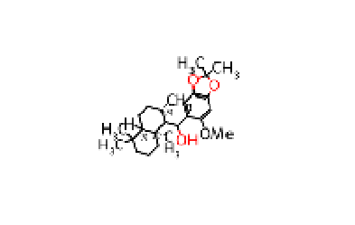 COc1cc2c(cc1C(O)C1[C@@H](C)CC[C@H]3C(C)(C)CCC[C@]13C)OC(C)(C)O2